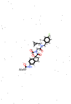 CNC(=O)Nc1ccc2c(c1)CCC21OC(=O)N(CC(=O)N(Cc2ccc(F)cc2)[C@@H](C)C2CC2)C1=O